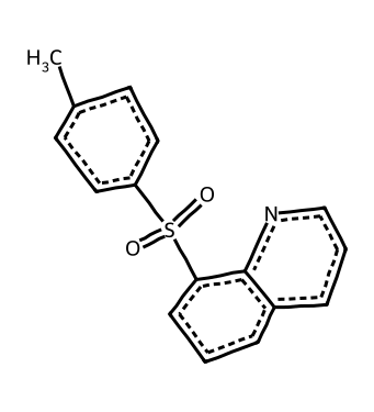 Cc1ccc(S(=O)(=O)c2cccc3cccnc23)cc1